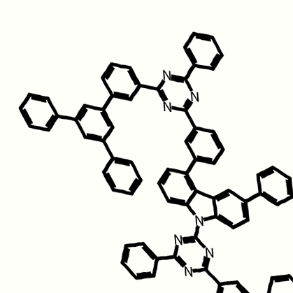 c1ccc(-c2cc(-c3ccccc3)cc(-c3cccc(-c4nc(-c5ccccc5)nc(-c5cccc(-c6cccc7c6c6cc(-c8ccccc8)ccc6n7-c6nc(-c7ccccc7)nc(-c7cccc(-c8ccccc8)c7)n6)c5)n4)c3)c2)cc1